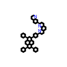 c1ccc(-c2cc(-c3ccccc3)c3ccc4c(-c5ccc(-c6ccc7ccc8ccc(-c9ccc%10cccnc%10c9)nc8c7n6)cc5)cc(-c5ccccc5)c5ccc2c3c54)cc1